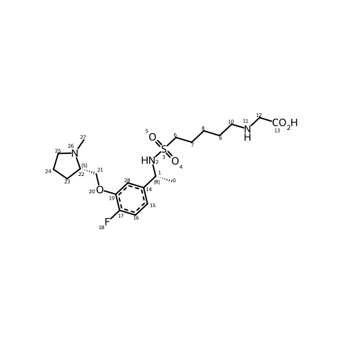 C[C@@H](NS(=O)(=O)CCCCCNCC(=O)O)c1ccc(F)c(OC[C@@H]2CCCN2C)c1